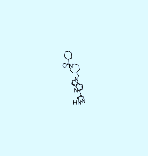 O=C(C1CCCCC1)N1CCCC(Cn2ccc3nc(-c4cn[nH]c4)ccc32)CC1